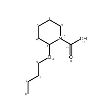 CCCCOC1CCCCN1C(=O)O